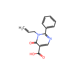 C=CCn1c(-c2ccccc2)ncc(C(=O)O)c1=O